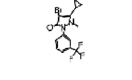 Cn1c(C2CC2)c(Br)c(=O)n1-c1cccc(C(F)(F)F)c1